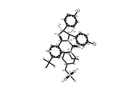 CCOc1cc(C(C)(C)C)ncc1C1=N[C@@](C)(c2ccc(Cl)cc2)[C@@](C)(c2ccc(Cl)cc2)N1C(=O)N1CCC(CS(C)(=O)=O)CC1